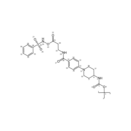 CC(C)(C)OC(=O)NC1CCN(c2ccc(C(=O)NCCC(=O)ONS(=O)(=O)c3ccccc3)cc2)CC1